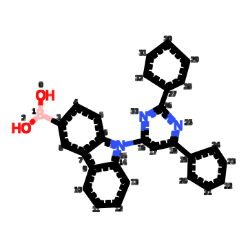 OB(O)c1ccc2c(c1)c1ccccc1n2-c1cc(-c2ccccc2)nc(-c2ccccc2)n1